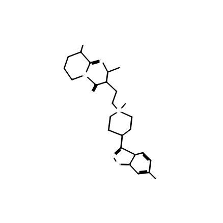 CC1N=C2C(O)CCCN2C(=O)C1CC[N+]1([O-])CCC(C2=NOC3C=C(F)C=CC23)CC1